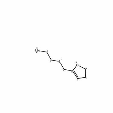 NCCSCC1=CCCO1